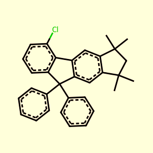 CC1(C)CC(C)(C)c2cc3c(cc21)-c1c(Cl)cccc1C3(c1ccccc1)c1ccccc1